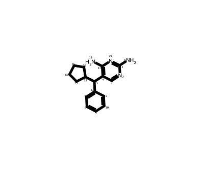 Nc1ncc(C(c2ccccc2)C2CCCC2)c(N)n1